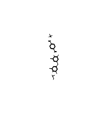 CCC(C)(CC)OC(=O)c1ccc(C(=O)Oc2c(C)cc(Cc3cc(C)c(O[C@@](C)(CC)CO)c(C)c3)cc2C)cc1